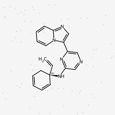 C=C[C@]1(Nc2cncc(-c3cnc4ccccn34)n2)C=CC=CC1